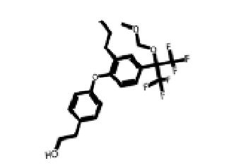 CCCc1cc(C(OCOC)(C(F)(F)F)C(F)(F)F)ccc1Oc1ccc(CCO)cc1